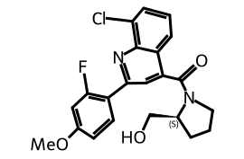 COc1ccc(-c2cc(C(=O)N3CCC[C@H]3CO)c3cccc(Cl)c3n2)c(F)c1